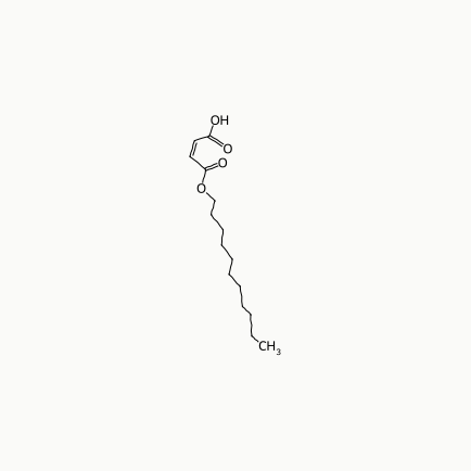 CCCCCCCCCCCOC(=O)/C=C\C(=O)O